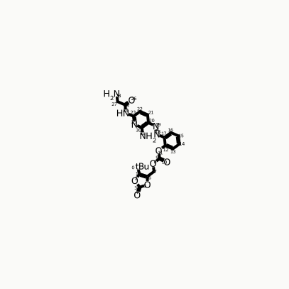 CC(C)(C)c1oc(=O)oc1COC(=O)Oc1ccccc1/N=N/c1ccc(NC(=O)CN)nc1N